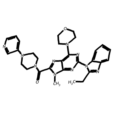 CCc1nc2ccccc2n1-c1nc(N2CCOCC2)c2nc(C(=O)N3CCN(c4cccnc4)CC3)n(C)c2n1